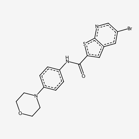 O=C(Nc1ccc(N2CCOCC2)cc1)c1cc2cc(Br)cnc2s1